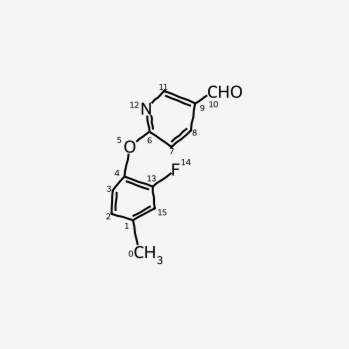 Cc1ccc(Oc2ccc(C=O)cn2)c(F)c1